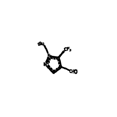 CC(C)(C)n1ncc(C=O)c1C(F)(F)F